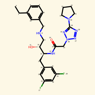 CCc1cccc(CNC[C@@H](O)[C@H](Cc2cc(F)cc(F)c2)NC(=O)Cn2nnc(N3CCCC3)n2)c1